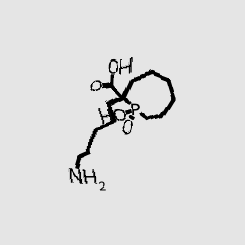 NCCCCCC1(C(=O)O)CCCCCCP1(=O)O